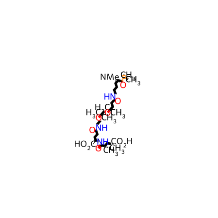 CN[C@@H](CCCCNC(=O)CCC(C)(C)OCC(C)(C)OCCNC(=O)CC[C@H](NC(=O)C(C)CC(C)C(=O)O)C(=O)O)C(=O)P(C)C